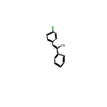 N#C/C(=C\c1ccc(Br)cc1)c1ccccc1